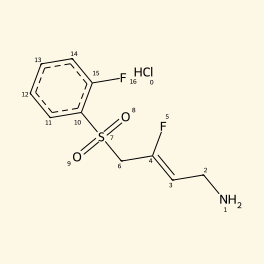 Cl.NC/C=C(\F)CS(=O)(=O)c1ccccc1F